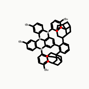 CC(C)(C)c1ccc(N2c3ccc(C(C)(C)C)cc3B3c4cc(C(C)(C)C)ccc4N(c4ccc(C(C)(C)C)cc4)c4cc(-c5c(C67CC8CC(CC(C8)C6)C7)cccc5C56CC7CC8CC(C5)C8(C7)C6)cc2c43)cc1